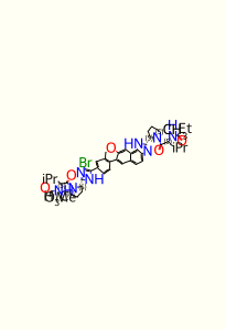 CCC(=O)N[C@H](C(=O)N1[C@@H](C)CC[C@H]1c1nc2ccc3cc4c(cc3c2[nH]1)OCc1cc(-c2[nH]c([C@@H]3CC[C@H](C)N3C(=O)[C@@H](NC(=O)OC)C(C)C)nc2Br)ccc1-4)C(C)C